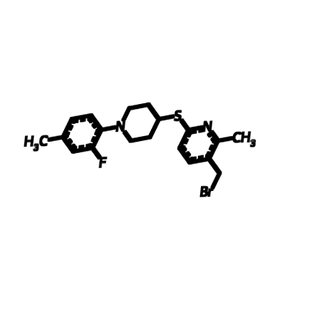 Cc1ccc(N2CCC(Sc3ccc(CBr)c(C)n3)CC2)c(F)c1